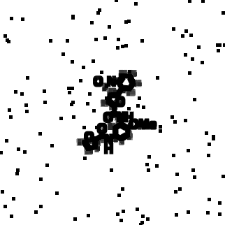 COc1ccc(NC(=O)c2ccco2)cc1NC(=O)c1ccc(-c2ccccc2[N+](=O)[O-])o1